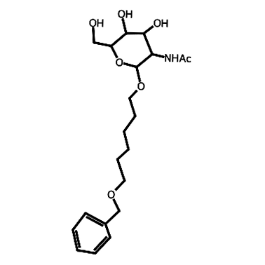 CC(=O)NC1C(OCCCCCCOCc2ccccc2)OC(CO)C(O)C1O